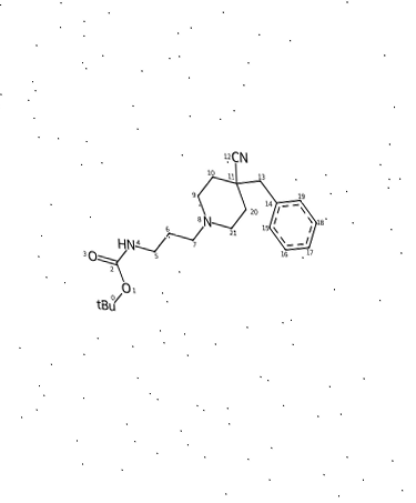 CC(C)(C)OC(=O)NCCCN1CCC(C#N)(Cc2ccccc2)CC1